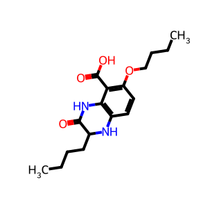 CCCCOc1ccc2c(c1C(=O)O)NC(=O)C(CCCC)N2